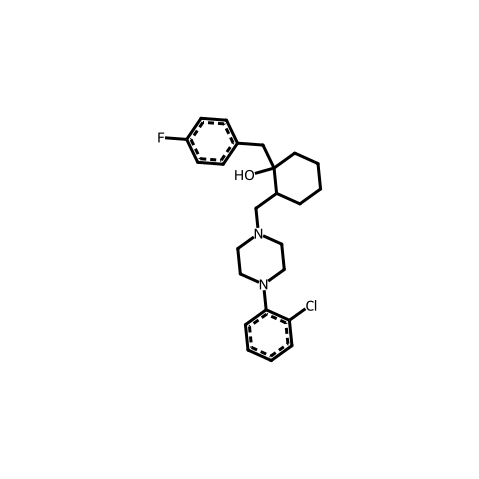 OC1(Cc2ccc(F)cc2)CCCCC1CN1CCN(c2ccccc2Cl)CC1